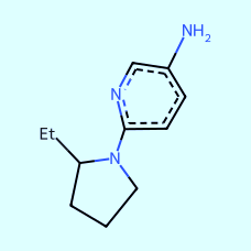 CCC1CCCN1c1ccc(N)cn1